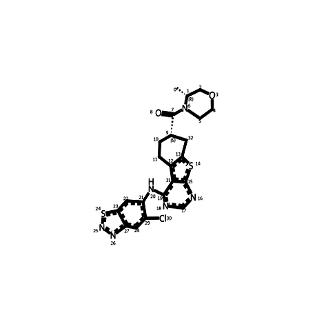 C[C@@H]1COCCN1C(=O)[C@H]1CCc2c(sc3ncnc(Nc4cc5snnc5cc4Cl)c23)C1